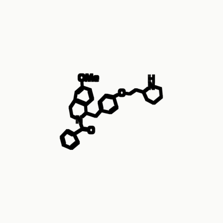 COc1ccc2c(c1)CCN(C(=O)c1ccccc1)C2Cc1ccc(OCCC2CCCCN2)cc1